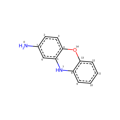 Nc1ccc2c(c1)Nc1ccccc1O2